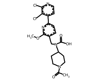 COc1nc(-c2ccnc(Cl)c2Cl)ccc1CN(C(=O)O)C1CCN(C(C)=O)CC1